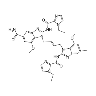 CCn1ccnc1C(=O)Nc1nc2cc(C)cc(OC)c2n1C/C=C/Cn1c(NC(=O)c2nccn2CC)nc2cc(C(N)=O)cc(OC)c21